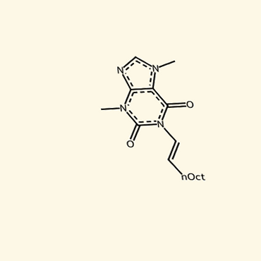 CCCCCCCCC=Cn1c(=O)c2c(ncn2C)n(C)c1=O